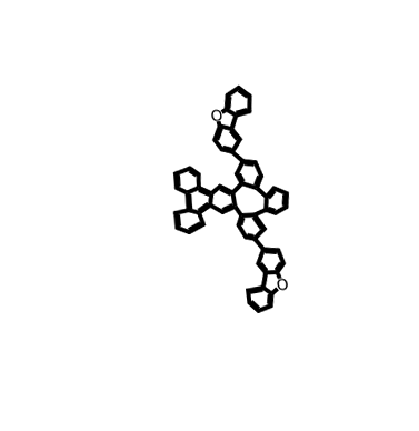 c1ccc2c(c1)-c1ccc(-c3ccc4oc5ccccc5c4c3)cc1-c1cc3c4ccccc4c4ccccc4c3cc1-c1ccc(-c3ccc4oc5ccccc5c4c3)cc1-2